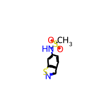 CS(=O)(=O)Nc1ccc2cnsc2c1